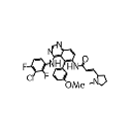 COc1cccc(-c2c(NC(=O)/C=C/C3CCCN3C)ccc3ncnc(Nc4ccc(F)c(Cl)c4F)c23)c1